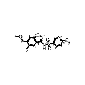 COCc1cc2onc(NS(=O)(=O)c3ccc(OC)nc3)c2cc1C